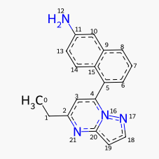 CCc1cc(-c2cccc3cc(N)ccc23)n2nccc2n1